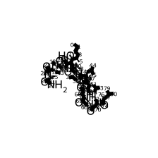 C/C=C/C[C@@H](C)[C@H](O)C(C(=O)N[C@H](CC)C(=O)N(C)CC(=O)N(C)[C@@H](C)C(N)=O)N(C)C(=O)[C@@H](C(C)C)N(C)C(=O)[C@@H](CC(C)C)N(C)C(=O)[C@H](CC(C)C)N(C)C(=O)[C@H](C)NC(=O)[C@@H](C)NC(=O)[C@H](C)N(C)C(=O)[C@H](C)CC(C)C